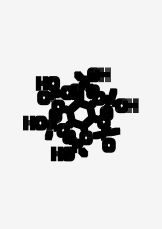 CP(C)(=O)OC1C(OP(C)(=O)O)C(OP(C)(=O)O)C(OP(=O)(O)O)C(OP(C)(=O)O)C1OP(C)(=O)O